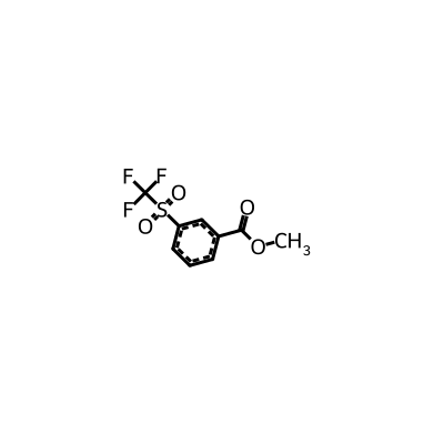 COC(=O)c1cccc(S(=O)(=O)C(F)(F)F)c1